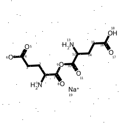 NC(CCC(=O)[O-])C(=O)OC(=O)C(N)CCC(=O)O.[Na+]